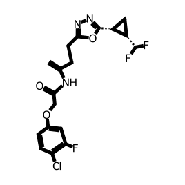 C=C(CCc1nnc([C@@H]2C[C@@H]2C(F)F)o1)NC(=O)COc1ccc(Cl)c(F)c1